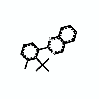 Cc1cccc(-c2ncc3ccccc3n2)c1C(C)(C)C